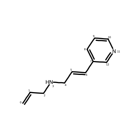 C=CCNC/C=C/c1cccnc1